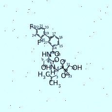 CC(C)C[C@H](NC(=O)[C@H](CO)NC(=O)c1cccc(-c2ccc(F)cc2F)c1)C(=O)[C@]1(CO)CO1